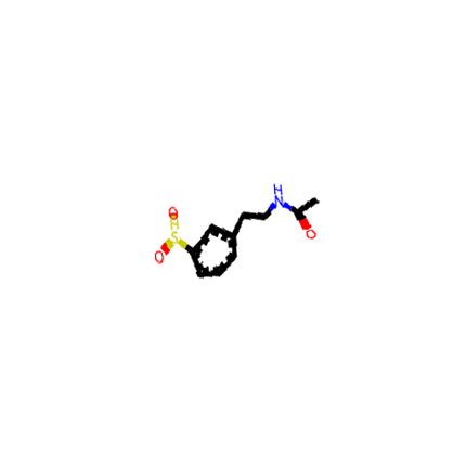 CC(=O)NCCc1cccc([SH](=O)=O)c1